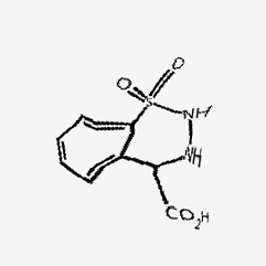 O=C(O)C1NNS(=O)(=O)c2ccccc21